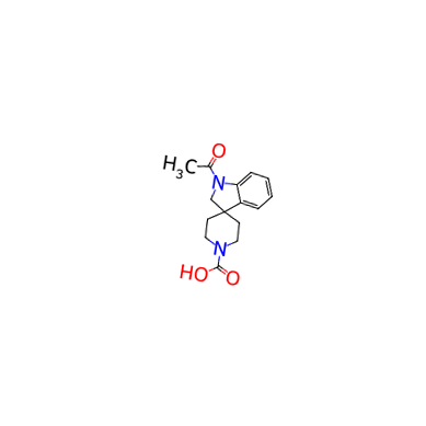 CC(=O)N1CC2(CCN(C(=O)O)CC2)c2ccccc21